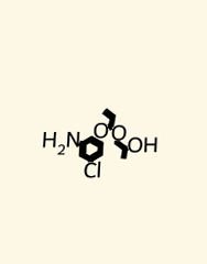 C=CC(=O)OCC(C)O.Nc1cccc(Cl)c1